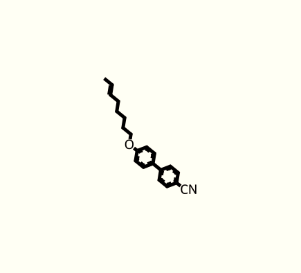 C/C=C/CCCCCOc1ccc(-c2ccc(C#N)cc2)cc1